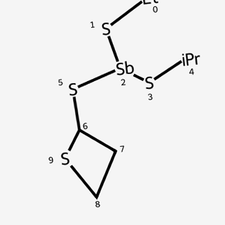 CC[S][Sb]([S]C(C)C)[S]C1CCS1